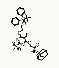 CC(C)(C)[Si](OCCOc1nc(S(C)(=O)=O)nc(OCC(=O)NC23CC4CC(CC(C4)C2)C3)c1F)(c1ccccc1)c1ccccc1